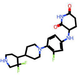 O=C1CCC(Nc2ccc(N3CCC(C4CCNCC4(F)F)CC3)c(F)c2)C(=O)N1